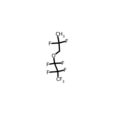 CC(F)(F)COC(F)(F)C(F)(F)C(F)(F)F